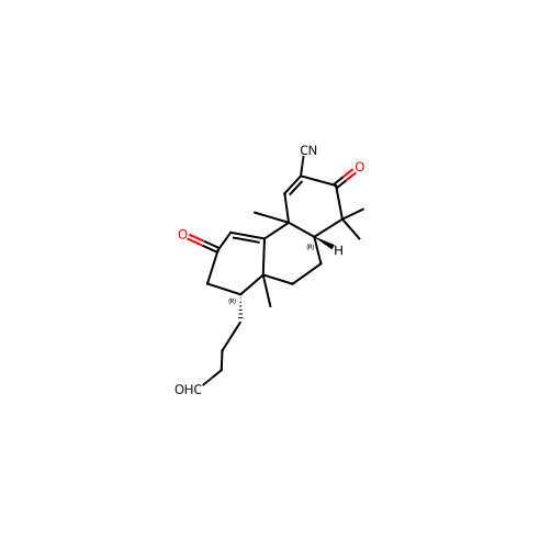 CC1(C)C(=O)C(C#N)=CC2(C)C3=CC(=O)C[C@@H](CCCC=O)C3(C)CC[C@@H]12